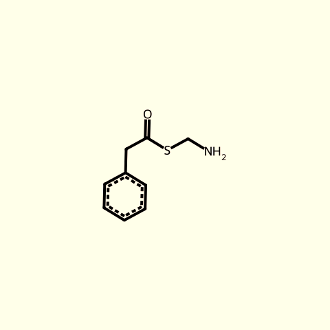 NCSC(=O)Cc1ccccc1